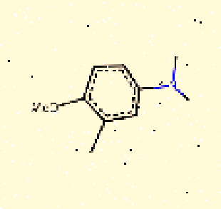 COc1ccc(N(C)C)cc1C